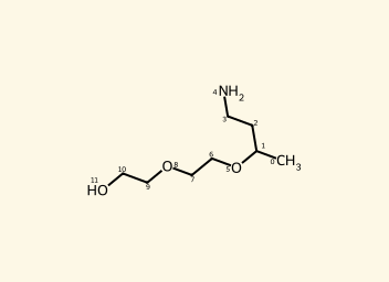 CC(CCN)OCCOCCO